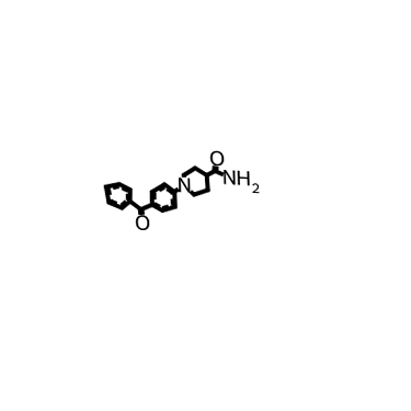 NC(=O)C1CCN(c2ccc(C(=O)c3ccccc3)cc2)CC1